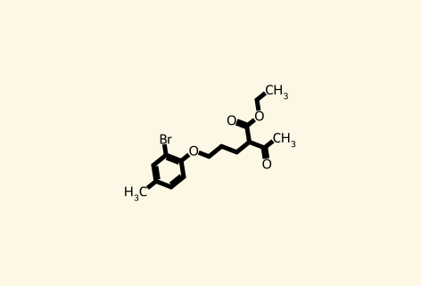 CCOC(=O)C(CCCOc1ccc(C)cc1Br)C(C)=O